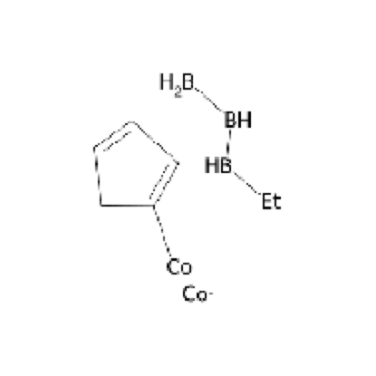 BBBCC.[Co].[Co][C]1=CC=CC1